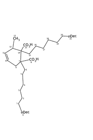 CCCCCCCCCCCCCCCCC1(C(=O)O)CC=CC(C)C1(CCCCCCCCCCCCCCCC)C(=O)O